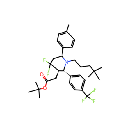 Cc1ccc([C@@H]2CC(F)(F)[C@H](CC(=O)OC(C)(C)C)[C@@H](c3ccc(C(F)(F)F)cc3)N2CCCC(C)(C)C)cc1